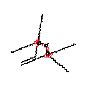 [CH2]c1cc(OCc2cc(OCCCCCCCCCCCCCCCCCC)c(OCCCCCCCCCCCCCCCCCC)c(OCCCCCCCCCCCCCCCCCC)c2)cc(OCc2cc(OCCCCCCCCCCCCCCCCCC)c(OCCCCCCCCCCCCCCCCCC)c(OCCCCCCCCCCCCCCCCCC)c2)c1